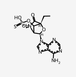 CC[C@@]12O[C@@H](n3cnc4c(N)ncnc43)C(C1OP(O)(O)=S)N(C)C2=O